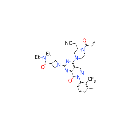 C=CC(=O)N1CCN(c2nc(N3CC(C(=O)N(CC)CC)C3)nc3c(=O)n(-c4cccc(C)c4C(F)(F)F)ncc23)CC1CC#N